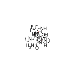 NC(=O)c1cc(N[C@H]2CCNC2=O)nc(N2[C@@H]3CC[C@H]2C[C@@H](Oc2ccc(C(F)(F)F)cc2CN2CCCC2)C3)n1